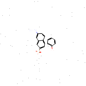 Nc1ccc2ccc(S(=O)(=O)O)cc2c1.Oc1ccccc1